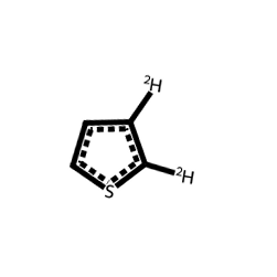 [2H]c1ccsc1[2H]